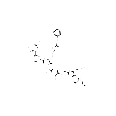 CC[C@H](C)[C@H](NC(=O)[C@@H](CCCNC(=O)OCc1ccccc1)NC(=O)[C@H](CC(C)C)NC(=O)[C@@H](NC(=O)OC(C)(C)C)[C@H](O)C(C)C)C(=O)N[C@H](C(=O)NCC(=O)N[C@@H](COC(C)(C)C)C(=O)N[C@@H](COC(C)(C)C)C(=O)OC)[C@H](C)O